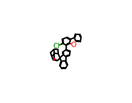 Clc1ccc2c(oc3ccccc32)c1-c1ccc2c(c1)C1(c3ccccc3-2)C2CC3CC(C2)CC1C3